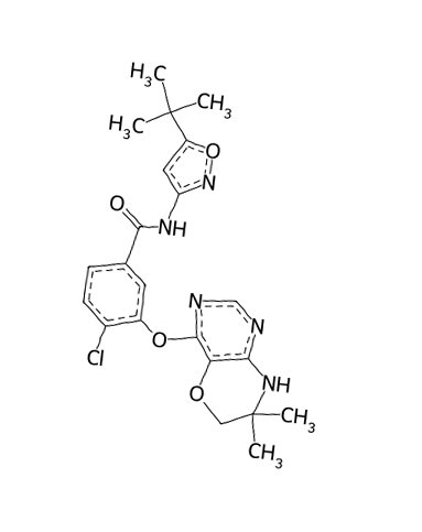 CC1(C)COc2c(ncnc2Oc2cc(C(=O)Nc3cc(C(C)(C)C)on3)ccc2Cl)N1